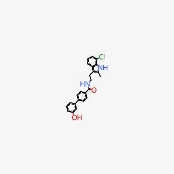 Cc1[nH]c2c(Cl)cccc2c1CCNC(=O)c1ccc(-c2cccc(O)c2)cc1